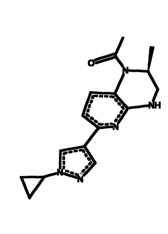 CC(=O)N1c2ccc(-c3cnn(C4CC4)c3)nc2NC[C@@H]1C